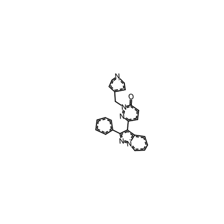 O=c1ccc(-c2c(-c3ccccc3)nn3ccccc23)nn1Cc1ccncc1